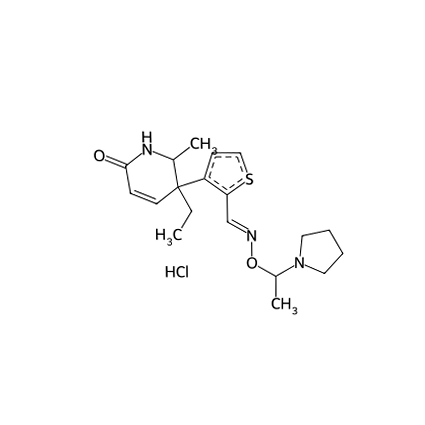 CCC1(c2ccsc2/C=N/OC(C)N2CCCC2)C=CC(=O)NC1C.Cl